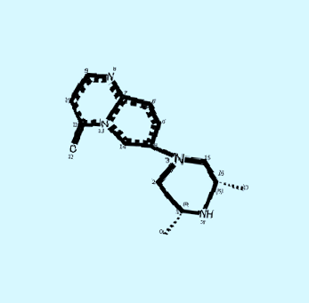 C[C@@H]1CN(c2ccc3nccc(=O)n3c2)C[C@H](C)N1